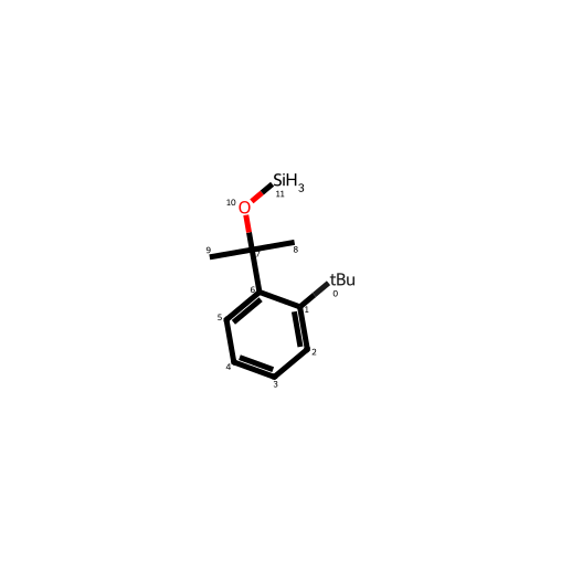 CC(C)(C)c1ccccc1C(C)(C)O[SiH3]